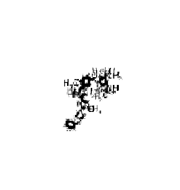 COc1c(NC(=O)c2ccc(C)c(N3C=C(c4cn(C)c(N5CCN(Cc6ccccc6)CC5)n4)NN3)c2)cc(C(C)(C)C)cc1NS(C)(=O)=O